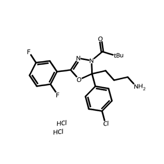 CC(C)(C)C(=O)N1N=C(c2cc(F)ccc2F)OC1(CCCN)c1ccc(Cl)cc1.Cl.Cl